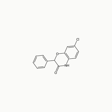 O=C1Nc2ccc(Cl)cc2OC1c1ccccc1